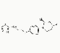 ClC1=CC(Cl)CC[C]1c1ccc(OCCNc2nccs2)cc1